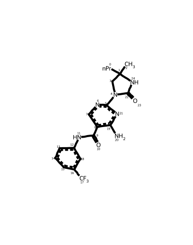 CCCC1(C)CN(c2ncc(C(=O)Nc3cccc(C(F)(F)F)c3)c(N)n2)C(=O)N1